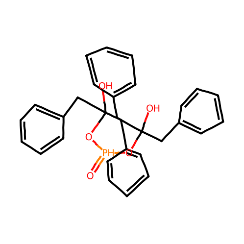 O=[PH](OC(O)(Cc1ccccc1)Cc1ccccc1)OC(O)(Cc1ccccc1)Cc1ccccc1